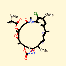 CN[C@@H](C)C(=O)OC1CC(=O)N(C)c2cc(cc(OC)c2Cl)/C(C)=C/C=C/C(OC)C2(O)CC(OC(=O)N2)C(C)C2OC12C